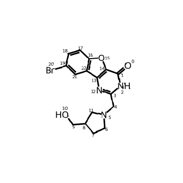 O=c1[nH]c(CN2CCC(CO)C2)nc2c1oc1ccc(Br)cc12